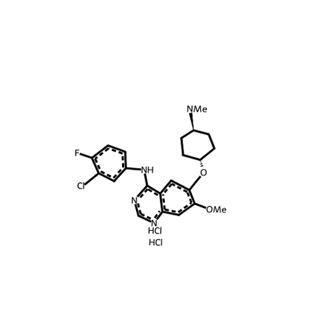 CN[C@H]1CC[C@H](Oc2cc3c(Nc4ccc(F)c(Cl)c4)ncnc3cc2OC)CC1.Cl.Cl